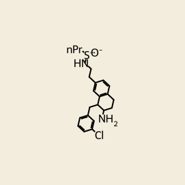 CCC[S+]([O-])NCCc1ccc2c(c1)C(Cc1cccc(Cl)c1)C(N)CC2